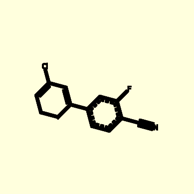 N#Cc1ccc(C2=CC(Cl)=CC[CH]2)cc1F